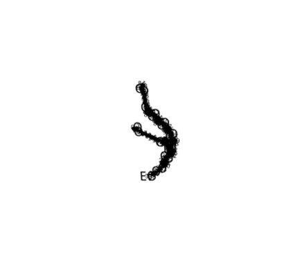 C=CC(=O)OCCCCCCCCCOc1cccc(-c2nc3cc(OC(=O)c4ccc(OCCOCCOCC)cc4)ccc3nc2-c2cccc(OC(=O)c3ccc(C(=O)Oc4ccc(C(=O)Oc5ccc(OCCCCCCOC(=O)C=C)cc5)cc4)cc3)c2)c1